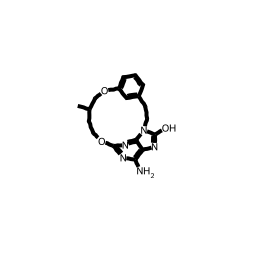 CC1CCOc2nc(N)c3nc(O)n(c3n2)CCc2cccc(c2)OC1